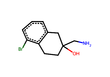 NCC1(O)CCc2c(Br)cccc2C1